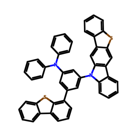 c1ccc(N(c2ccccc2)c2cc(-c3cccc4c3sc3ccccc34)cc(-n3c4ccccc4c4cc5sc6ccccc6c5cc43)c2)cc1